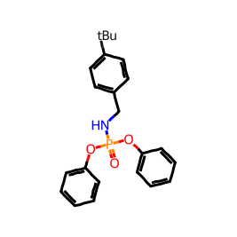 CC(C)(C)c1ccc(CNP(=O)(Oc2ccccc2)Oc2ccccc2)cc1